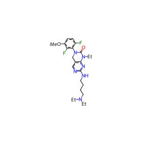 CCN(CC)CCCCNc1ncc2c(n1)N(CC)C(=O)N(c1c(F)ccc(OC)c1F)C2